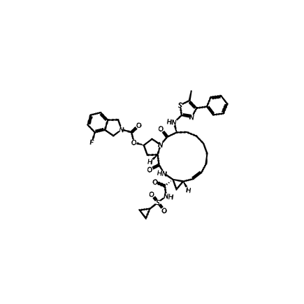 Cc1sc(N[C@H]2CCCCC/C=C\[C@@H]3C[C@@]3(C(=O)NS(=O)(=O)C3CC3)NC(=O)[C@@H]3C[C@@H](OC(=O)N4Cc5cccc(F)c5C4)CN3C2=O)nc1-c1ccccc1